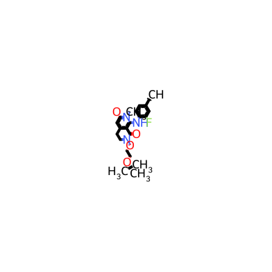 C#Cc1ccc(Nc2c3c(cc(=O)n2C)CCN(OCCOC(C)(C)C)C3=O)c(F)c1